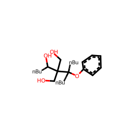 CCCCC(O)C(CO)(CO)C(CCCC)(CCCC)Oc1ccccc1